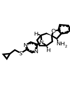 N[C@@H]1c2ccccc2O[C@]12C[C@H]1CC[C@@H](C2)N1c1cnc(SCC2CC2)cn1